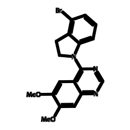 COc1cc2ncnc(N3CCc4c(Br)cccc43)c2cc1OC